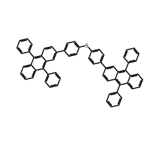 c1ccc(-c2c3ccccc3c(-c3ccccc3)c3cc(-c4ccc(Sc5ccc(-c6ccc7c(-c8ccccc8)c8ccccc8c(-c8ccccc8)c7c6)cc5)cc4)ccc23)cc1